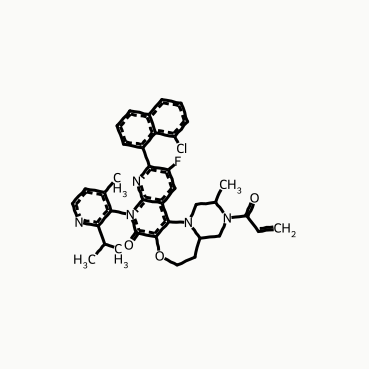 C=CC(=O)N1CC2CCOc3c(c4cc(F)c(-c5cccc6cccc(Cl)c56)nc4n(-c4c(C)ccnc4C(C)C)c3=O)N2CC1C